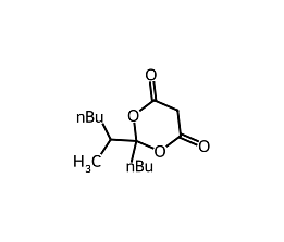 CCCCC(C)C1(CCCC)OC(=O)CC(=O)O1